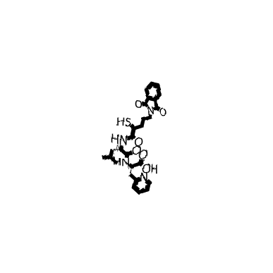 CC(C)C[C@H](NC(=O)C(S)CCCN1C(=O)c2ccccc2C1=O)C(=O)N[C@@H](Cc1ccccn1)C(=O)O